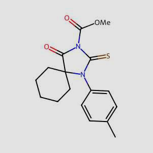 COC(=O)N1C(=O)C2(CCCCC2)N(c2ccc(C)cc2)C1=S